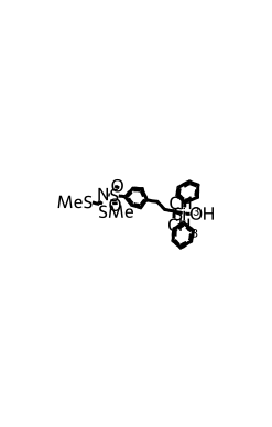 CSC(=NS(=O)(=O)c1ccc(CCC(C)(C)[Si](O)(c2ccccc2)c2ccccc2)cc1)SC